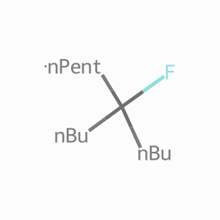 CCCC[CH]C(F)(CCCC)CCCC